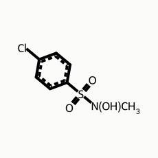 CN(O)S(=O)(=O)c1ccc(Cl)cc1